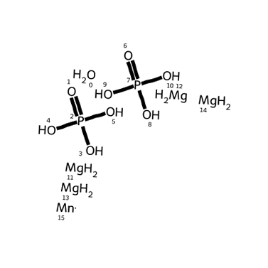 O.O=P(O)(O)O.O=P(O)(O)O.[MgH2].[MgH2].[MgH2].[MgH2].[Mn]